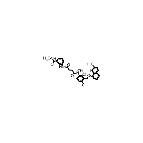 CNC(=O)c1cccc(NC(=O)CCC(=O)N(C)c2ccc(Cl)c(COc3cccc4ccc(C)nc34)c2Cl)c1